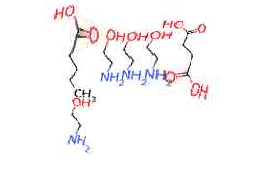 CCCCC(=O)O.NCCO.NCCO.NCCO.NCCO.O=C(O)CCC(=O)O